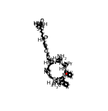 CC(C)C[C@H]1NC(=O)[C@@H](CC(N)=O)NC(=O)[C@@H](NC(=O)COCCOCCOCCNC(=O)CCCCC2SC[C@H]3NC(=O)N[C@@H]23)Cc2cn(nn2)CCCC[C@@H](C(N)=O)NC(=O)[C@H](Cc2cn(C)c3ccccc23)NC(=O)[C@@H](Cc2ccccc2)NC1=O